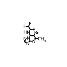 Cc1nc2ncnn2c(NC(F)C(F)F)c1Br